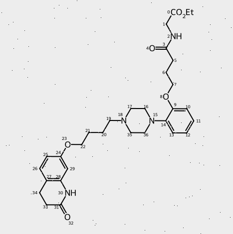 CCOC(=O)CNC(=O)CCCOc1ccccc1N1CCN(CCCCOc2ccc3c(c2)NC(=O)CC3)CC1